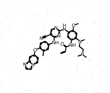 C=CC(=O)Nc1cc(Nc2ncc(C#N)c(Nc3ccc(Oc4ccn5ccnc5c4)c(C)c3)n2)c(OC)cc1N(C)CCN(C)C